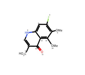 COc1c(F)cc2[nH]cc(C(=O)O)c(=O)c2c1OC